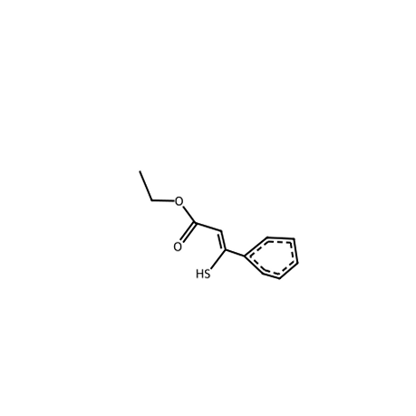 CCOC(=O)C=C(S)c1ccccc1